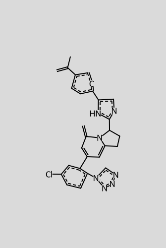 C=C(C)c1ccc(-c2cnc(C3CCC4=CC(c5cc(Cl)ccc5-n5cnnn5)=CC(=C)N43)[nH]2)cc1